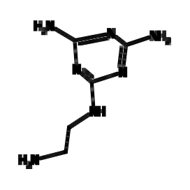 NCCNc1nc(N)nc(N)n1